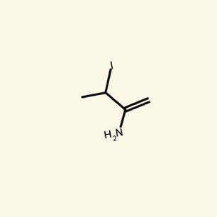 C=C(N)C(C)I